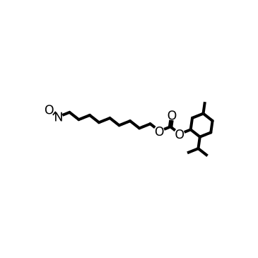 CC1CCC(C(C)C)C(OC(=O)OCCCCCCCCCN=O)C1